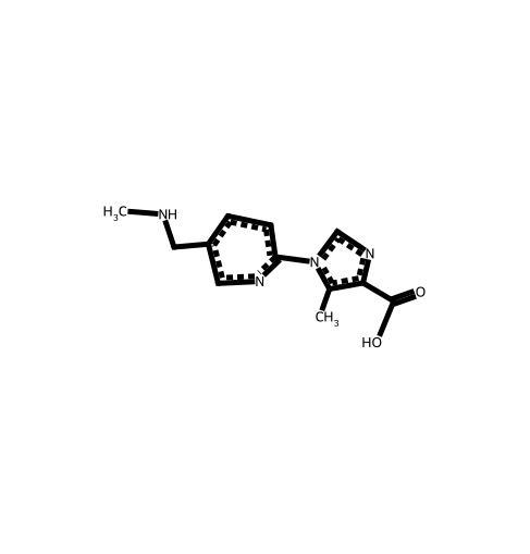 CNCc1ccc(-n2cnc(C(=O)O)c2C)nc1